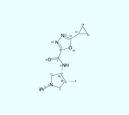 CC(C)N1C[C@@H](C)[C@@H](NC(=O)c2nnc(C3CC3)o2)C1